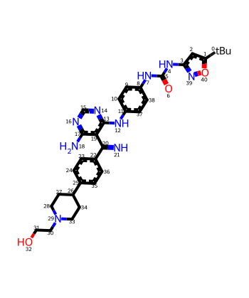 CC(C)(C)c1cc(NC(=O)Nc2ccc(Nc3ncnc(N)c3C(=N)c3ccc(C4CCN(CCO)CC4)cc3)cc2)no1